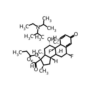 CCC(=O)O[C@]1(C(=O)S)[C@H](C)C[C@H]2[C@@H]3C[C@H](F)C4=CC(=O)C=C[C@]4(C)[C@@]3(F)[C@@H](O)C[C@@]21C.CCN(C(C)C)C(C)C